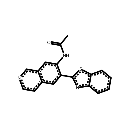 CC(=O)Nc1cc2cnccc2cc1-c1nc2ccccc2s1